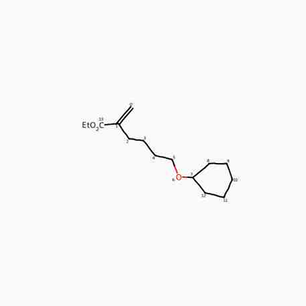 C=C(CCCCOC1CCCCC1)C(=O)OCC